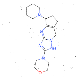 C1CCN(C2CCC3=C2N=C2N=C(N4CCOCC4)NN2C3)CC1